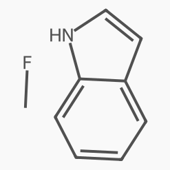 CF.c1ccc2[nH]ccc2c1